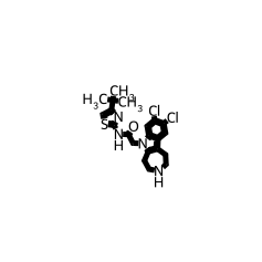 CC(C)(C)c1csc(NC(=O)Cn2c3c(c4cc(Cl)c(Cl)cc42)CCNCC3)n1